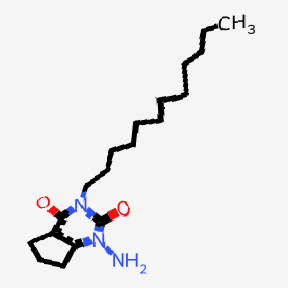 CCCCCCCCCCCCn1c(=O)c2c(n(N)c1=O)CCC2